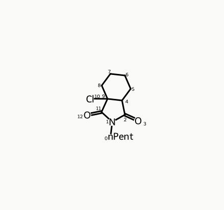 CCCCCN1C(=O)C2CCCCC2(Cl)C1=O